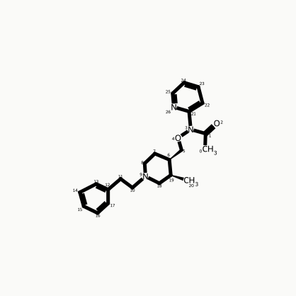 CC(=O)N(OC[C@@H]1CCN(CCc2ccccc2)C[C@@H]1C)c1ccccn1